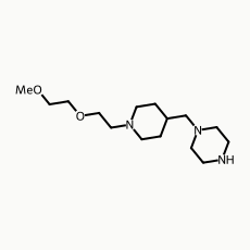 COCCOCCN1CCC(CN2CCNCC2)CC1